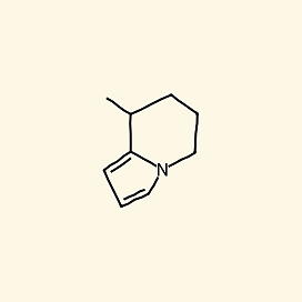 CC1CCCn2cccc21